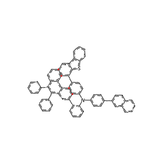 c1ccc(-c2c(-c3ccccc3)c3cc(-c4ccccc4N(c4ccc(-c5ccc6ccccc6c5)cc4)c4ccc(-c5cccc6c5sc5ccccc56)cc4)ccc3c3ccccc23)cc1